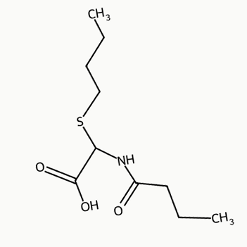 CCCCSC(NC(=O)CCC)C(=O)O